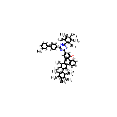 Bc1c(B)c(B)c(-c2nc(-c3ccc(-c4cccc(C#N)c4)cc3)nc(-c3ccc4c(c3)oc3cccc(-c5c(B)c(B)c(B)c(-c6c(B)c(B)c(B)c(B)c6B)c5B)c34)n2)c(B)c1B